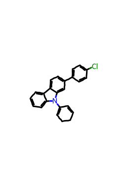 Clc1ccc(-c2ccc3c4ccccc4n(C4=CCCC=C4)c3c2)cc1